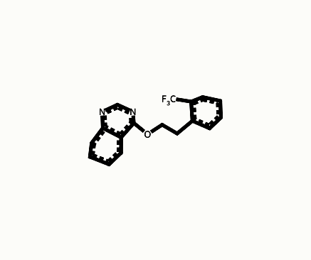 FC(F)(F)c1ccccc1CCOc1ncnc2ccccc12